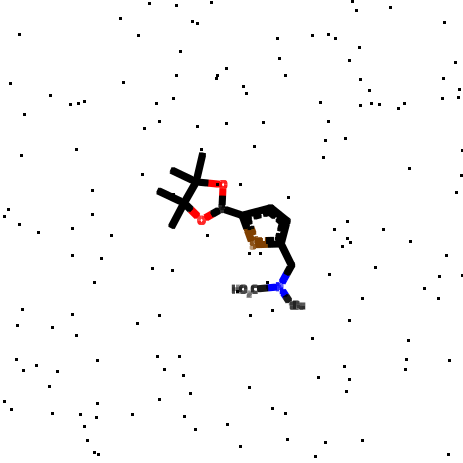 CC(C)(C)N(Cc1ccc(B2OC(C)(C)C(C)(C)O2)s1)C(=O)O